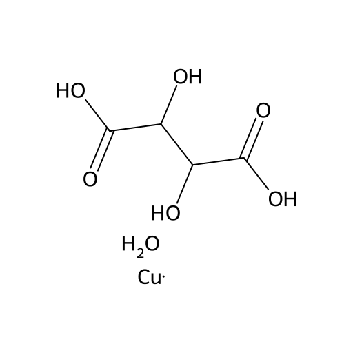 O.O=C(O)C(O)C(O)C(=O)O.[Cu]